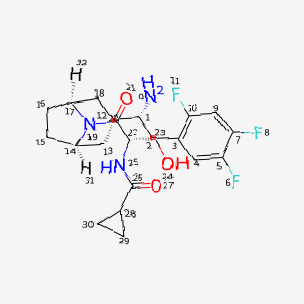 N[C@H](Cc1cc(F)c(F)cc1F)[C@@H]1C[C@H]2CC[C@@H](C1)N2C(=O)[C@H](CO)NC(=O)C1CC1